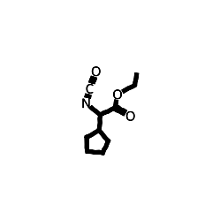 CCOC(=O)C(N=C=O)C1CCCC1